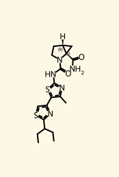 CCC(CC)c1nc(-c2sc(NC(=O)N3CC[C@@H]4C[C@@]43C(N)=O)nc2C)cs1